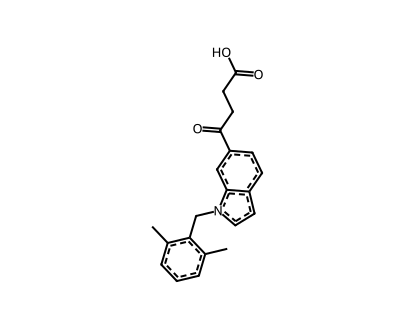 Cc1cccc(C)c1Cn1ccc2ccc(C(=O)CCC(=O)O)cc21